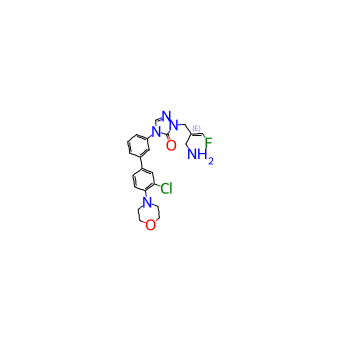 NC/C(=C\F)Cn1ncn(-c2cccc(-c3ccc(N4CCOCC4)c(Cl)c3)c2)c1=O